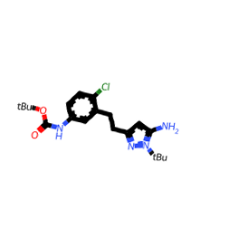 CC(C)(C)OC(=O)Nc1ccc(Cl)c(CCc2cc(N)n(C(C)(C)C)n2)c1